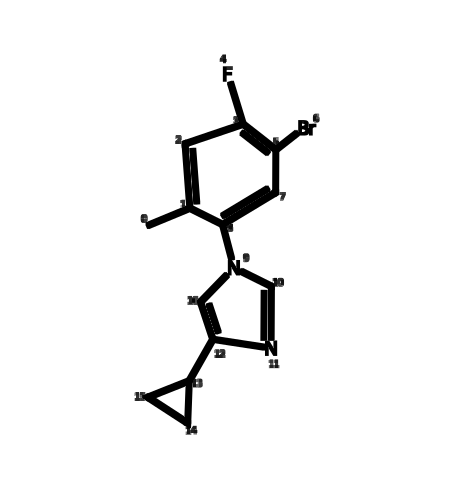 Cc1cc(F)c(Br)cc1-n1cnc(C2CC2)c1